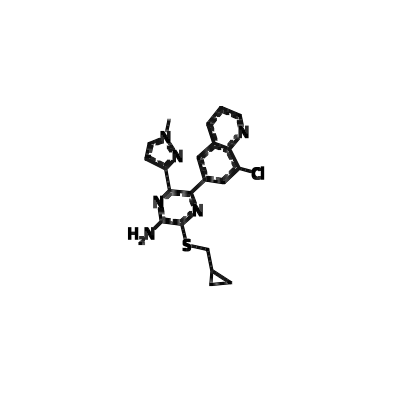 Cn1ccc(-c2nc(N)c(SCC3CC3)nc2-c2cc(Cl)c3ncccc3c2)n1